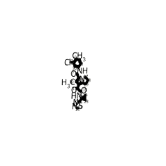 Cc1ccc(NC(=O)c2c(C)c(C(=O)C(=O)NC3(c4nncs4)CC3)c3n2CCC3)cc1Cl